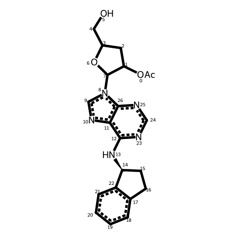 CC(=O)OC1CC(CO)OC1n1cnc2c(N[C@H]3CCc4ccccc43)ncnc21